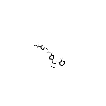 CCC(F)(F)c1ccc(CC(=O)Nc2ccc(-c3nccnc3Oc3ccccc3Cl)cc2)cc1